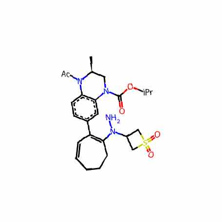 CC(=O)N1c2ccc(C3=C(N(N)C4CS(=O)(=O)C4)CCCC=C3)cc2N(C(=O)OC(C)C)C[C@@H]1C